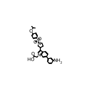 CC(C)Oc1ccc(S(=O)(=O)N2CCC(c3cn(CC(=O)O)c4cc(-c5cccc(N)c5)ccc34)C2)cc1